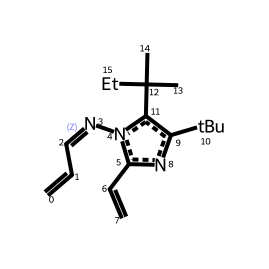 C=C/C=N\n1c(C=C)nc(C(C)(C)C)c1C(C)(C)CC